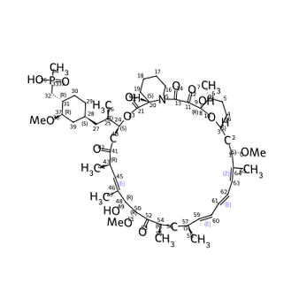 CO[C@H]1C[C@@H]2CC[C@@H](C)[C@@](O)(O2)C(=O)C(=O)N2CCCC[C@H]2C(=O)O[C@H]([C@H](C)C[C@@H]2CC[C@@H](CP(C)(=O)O)[C@H](OC)C2)CC(=O)[C@H](C)/C=C(\C)[C@@H](O)[C@@H](OC)C(=O)[C@H](C)C[C@H](C)/C=C/C=C/C=C\1C